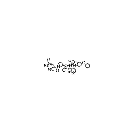 CCNC(C)(C)C=C(C#N)C(=O)N1CCCC(NC(=O)c2sc3nccc4c3c2NC(=O)N4c2ccc(Oc3ccccc3)cc2C)C1